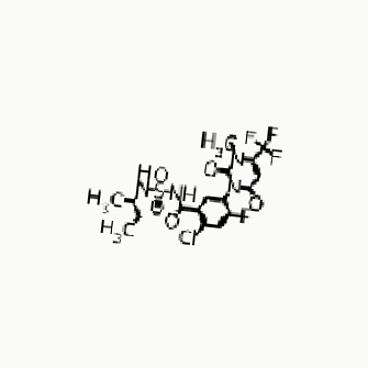 CCC(C)NS(=O)(=O)NC(=O)c1cc(-n2c(=O)cc(C(F)(F)F)n(C)c2=O)c(F)cc1Cl